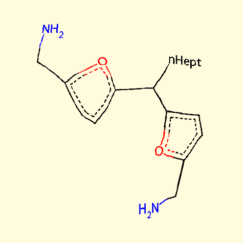 CCCCCCCC(c1ccc(CN)o1)c1ccc(CN)o1